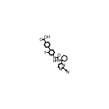 N#Cc1nccc(C2(NC(=O)Nc3ccc(-c4ccc(C(=O)O)cc4)c(F)c3)CCCCC2)n1